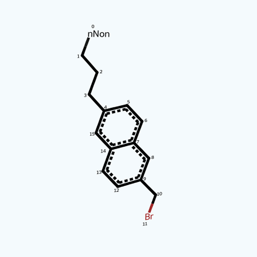 CCCCCCCCCCCCc1ccc2cc(CBr)ccc2c1